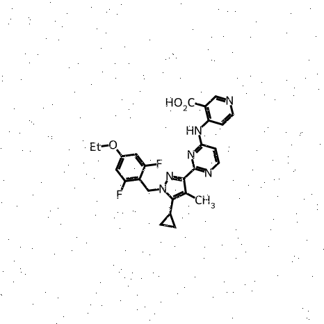 CCOc1cc(F)c(Cn2nc(-c3nccc(Nc4ccncc4C(=O)O)n3)c(C)c2C2CC2)c(F)c1